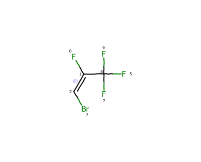 F/C(=C/Br)C(F)(F)F